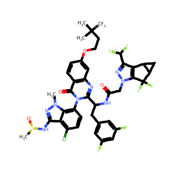 Cn1nc(N[S+](C)[O-])c2c(Cl)ccc(-n3c(C(Cc4cc(F)cc(F)c4)NC(=O)Cn4nc(C(F)F)c5c4C(F)(F)C4CC54)nc4cc(OCCC(C)(C)C(F)(F)F)ccc4c3=O)c21